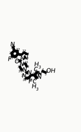 Cc1nn(CCO)c(C)c1-c1nc(N2CCN(C(=O)N3N=CCC3c3cc(F)cc(C#N)c3)CC2)ncc1F